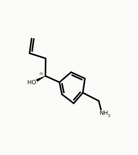 C=CC[C@H](O)c1ccc(CN)cc1